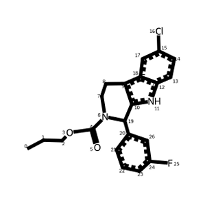 CCCOC(=O)N1CCc2c([nH]c3ccc(Cl)cc23)C1c1cccc(F)c1